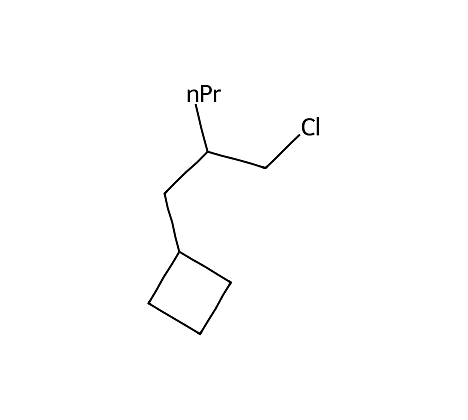 CCCC(CCl)CC1CCC1